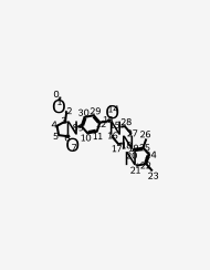 COCC1CCC(=O)N1c1ccc(C(=O)N2CCN(c3ncc(C)cc3C)CC2)cc1